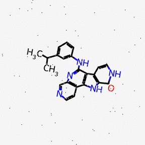 CC(C)c1cccc(Nc2nc3cnccc3c3[nH]c4c(=O)[nH]ccc4c23)c1